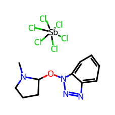 CN1CCCC1On1nnc2ccccc21.[Cl][Sb-]([Cl])([Cl])([Cl])([Cl])[Cl]